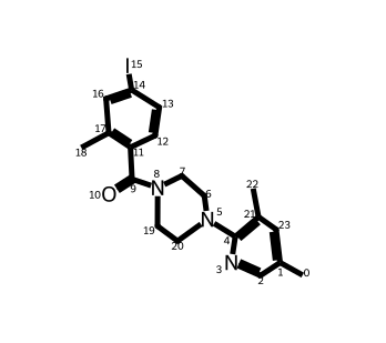 Cc1cnc(N2CCN(C(=O)c3ccc(I)cc3C)CC2)c(C)c1